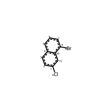 Clc1ccc2cc[c]c(Br)c2c1